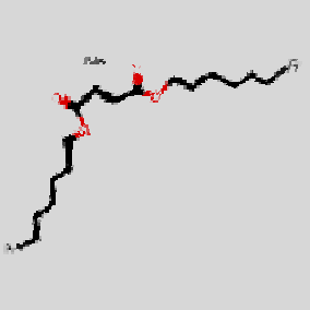 CC(C)CCCCCCOC(=O)CCC(=O)OCCCCCCC(C)C.[Na]